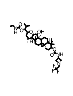 CCNC(=O)O[C@H](C(C)C)C1C[C@@H](C)[C@H]2C(O1)[C@H](O)[C@@]1(C)C3CC[C@H]4C(C)(C)C(OC(=O)NC5CN(CC(F)(F)F)C5)CC[C@@]45C[C@@]35CC[C@]21C